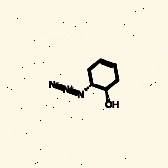 [N-]=[N+]=N[C@@H]1CC=CC[C@H]1O